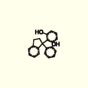 Oc1ccccc1C1(c2ccccc2O)CCc2ccccc21